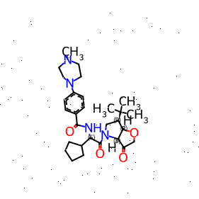 CN1CCN(c2ccc(C(=O)N[C@H](C(=O)N3C[C@@H](C(C)(C)C)[C@H]4OCC(=O)[C@H]43)C3CCCC3)cc2)CC1